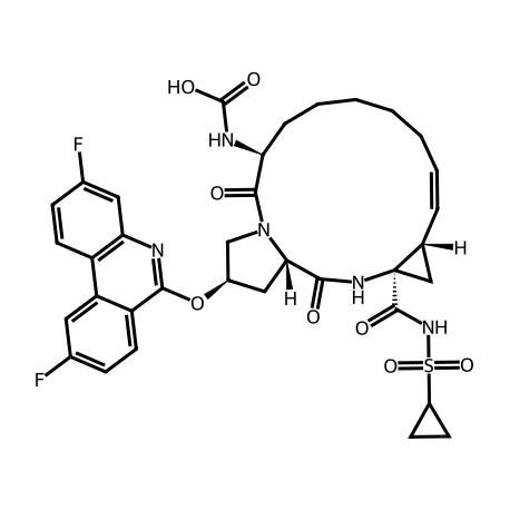 O=C(O)N[C@H]1CCCCCC=C[C@@H]2C[C@@]2(C(=O)NS(=O)(=O)C2CC2)NC(=O)[C@@H]2C[C@@H](Oc3nc4cc(F)ccc4c4cc(F)ccc34)CN2C1=O